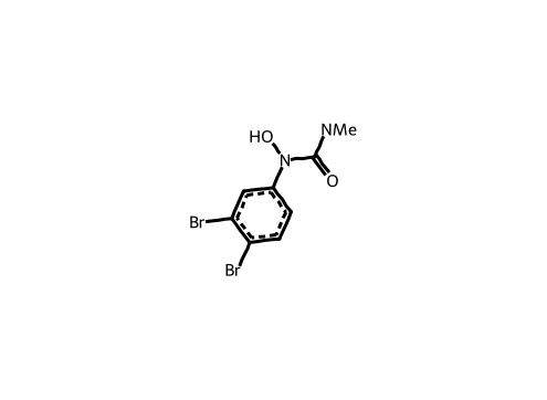 CNC(=O)N(O)c1ccc(Br)c(Br)c1